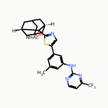 CC(=O)NC12CC3C[C@@H](C1)C(O)(c1ncc(-c4cc(C)cc(Nc5nccc(C(F)(F)F)n5)c4)s1)[C@@H](C3)C2